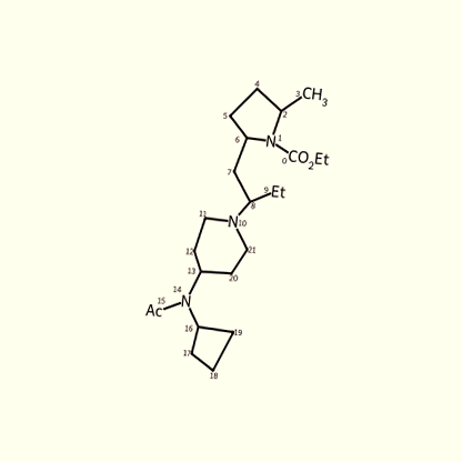 CCOC(=O)N1C(C)CCC1CC(CC)N1CCC(N(C(C)=O)C2CCC2)CC1